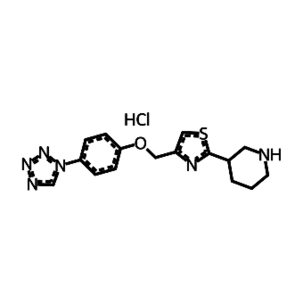 Cl.c1cc(-n2cnnn2)ccc1OCc1csc(C2CCCNC2)n1